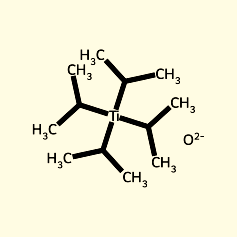 C[CH](C)[Ti]([CH](C)C)([CH](C)C)[CH](C)C.[O-2]